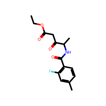 CCOC(=O)CC(=O)C(C)NC(=O)c1ccc(C)cc1F